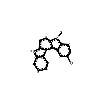 CC(C)c1ccc2c(c1)c1c3c(ccc1n2C)sc1ccccc13